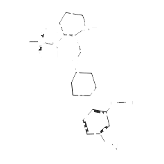 CCOc1cc(C#N)ccc1[C@H]1CC[C@@H](OC[C@@H]2NCCC[C@@H]2NS(C)(=O)=O)CC1